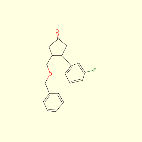 O=C1CC(COCc2ccccc2)C(c2cccc(F)c2)C1